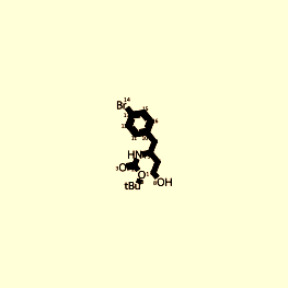 CC(C)(C)OC(=O)NC(CCO)Cc1ccc(Br)cc1